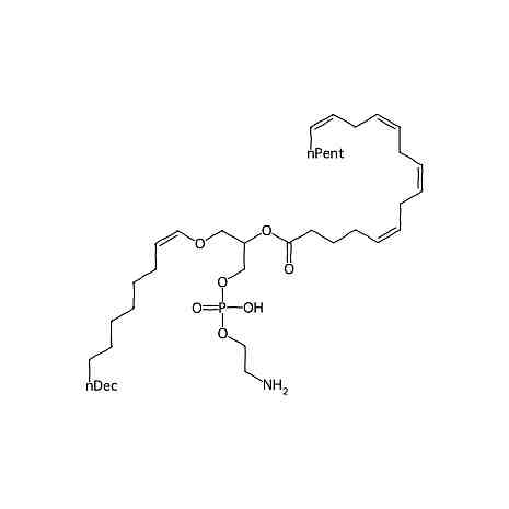 CCCCC/C=C\C/C=C\C/C=C\C/C=C\CCCC(=O)OC(CO/C=C\CCCCCCCCCCCCCCCC)COP(=O)(O)OCCN